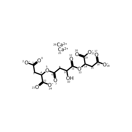 O=C([O-])CC(OC(=O)CC(O)C(=O)OC(CC(=O)[O-])C(=O)[O-])C(=O)[O-].[Ca+2].[Ca+2]